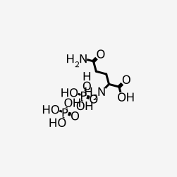 NC(=O)CCC(N)C(=O)O.O=P(O)(O)O.O=P(O)(O)O